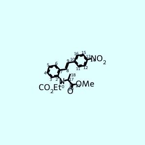 CCOC(=O)N(c1ccccc1C=Cc1ccc([N+](=O)[O-])cc1)C(C)C(=O)OC